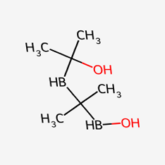 CC(C)(O)BC(C)(C)BO